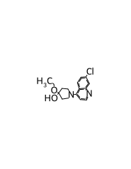 CCOC1(O)CCN(c2ccnc3cc(Cl)ccc23)CC1